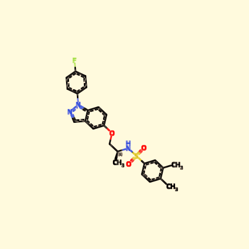 Cc1ccc(S(=O)(=O)N[C@@H](C)COc2ccc3c(cnn3-c3ccc(F)cc3)c2)cc1C